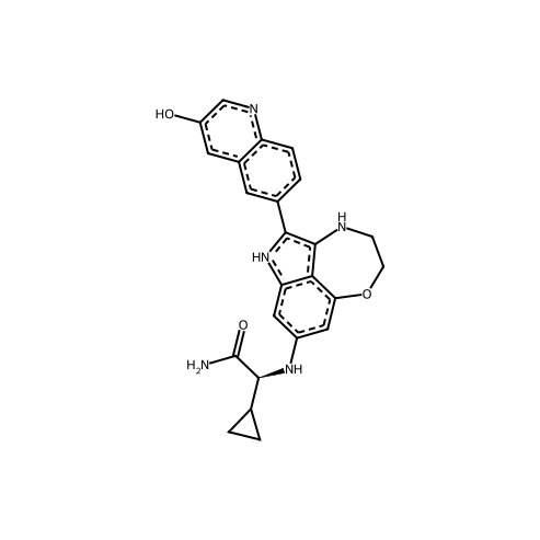 NC(=O)[C@@H](Nc1cc2c3c(c(-c4ccc5ncc(O)cc5c4)[nH]c3c1)NCCO2)C1CC1